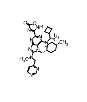 C[C@@H](Nc1nc(-c2nc(=O)o[nH]2)nc2nc(N(C)Cc3ccncn3)n(C[C@H]3CC[C@H](C)CC3)c12)C1CCC1